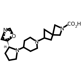 O=C(O)N1CC2(CC(N3CCC(N4CCC[C@@H]4c4cnco4)CC3)C2)C1